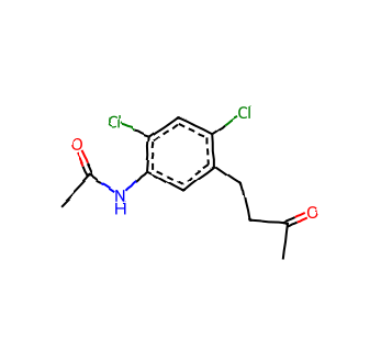 CC(=O)CCc1cc(NC(C)=O)c(Cl)cc1Cl